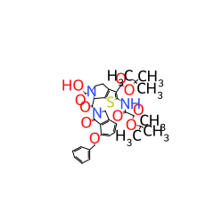 CC(C)(C)OC(=O)C(=O)Nc1sc2c(c1C(=O)OC(C)(C)C)CCN(C(=O)O)C2C(=O)N1Cc2cccc(OCc3ccccc3)c2C1=O